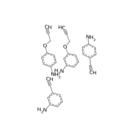 C#CCOc1ccc(N)cc1.C#CCOc1cccc(N)c1.C#Cc1ccc(N)cc1.C#Cc1cccc(N)c1